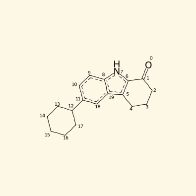 O=C1CCCc2c1[nH]c1ccc(C3CCCCC3)cc21